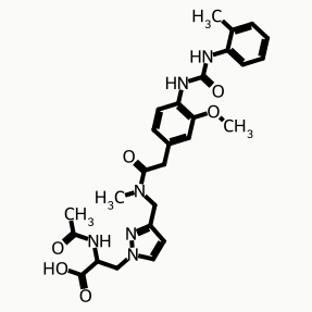 COc1cc(CC(=O)N(C)Cc2ccn(CC(NC(C)=O)C(=O)O)n2)ccc1NC(=O)Nc1ccccc1C